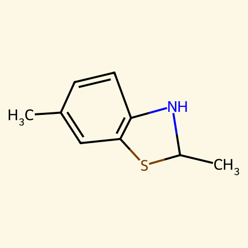 Cc1ccc2c(c1)SC(C)N2